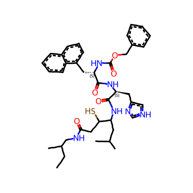 CCC(C)CNC(=O)CC(S)C(CC(C)C)NC(=O)[C@H](Cc1c[nH]cn1)NC(=O)[C@H](Cc1cccc2ccccc12)NC(=O)OCc1ccccc1